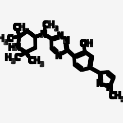 CN(c1cnc(-c2ccc(-c3ccn(C)n3)cc2O)nn1)C1CC(C)(C)NC(C)(C)C1